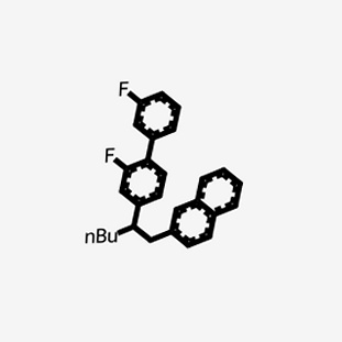 CCCCC(Cc1ccc2ccccc2c1)c1ccc(-c2cccc(F)c2)c(F)c1